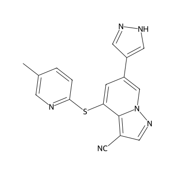 Cc1ccc(Sc2cc(-c3cn[nH]c3)cn3ncc(C#N)c23)nc1